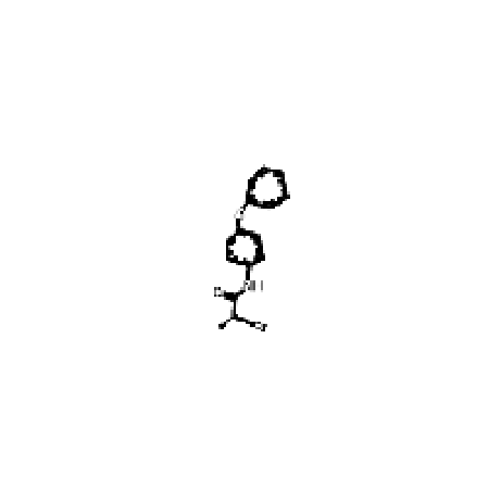 C[C@H](Br)C(=O)Nc1ccc(Oc2ccccc2)cc1